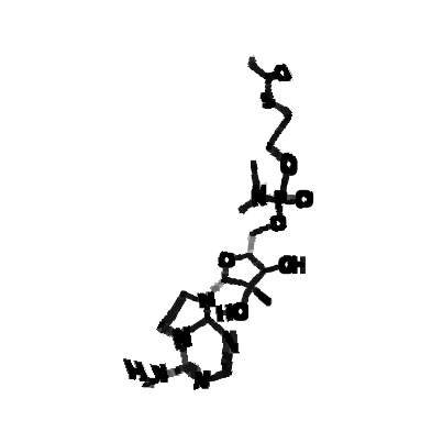 CC(=O)SCCOP(=O)(OC[C@H]1O[C@@H](N2C=CN3C(N)=NC=NC32)[C@@](C)(O)C1O)N(C)C